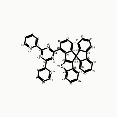 c1ccc(-c2nc(-c3ccccn3)nc(-c3cccc4c3-c3sc5ccccc5c3C43c4ccccc4-c4ccccc43)n2)nc1